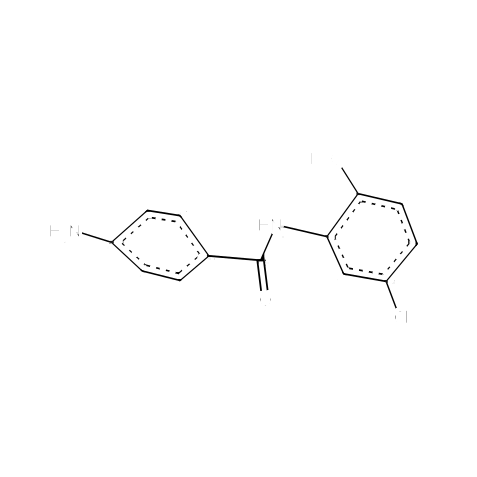 Cc1ccc(Cl)cc1NC(=O)c1ccc(N)cc1